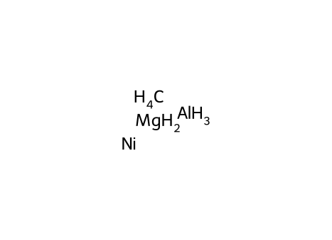 C.[AlH3].[MgH2].[Ni]